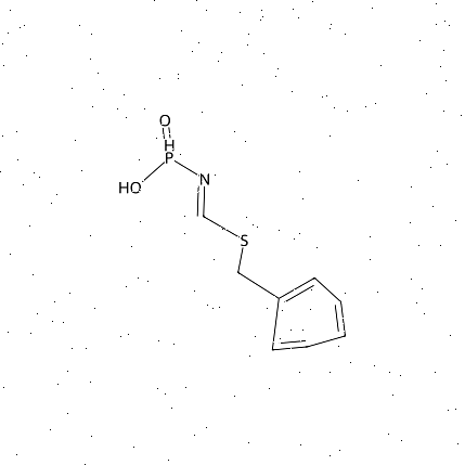 O=[PH](O)N=CSCc1ccccc1